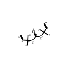 C=CC(C)(C)OC(=O)OC(C)(C)C=C